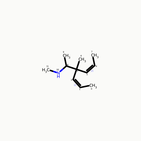 C/C=C\C(C)(/C=C\C)C(C)NC